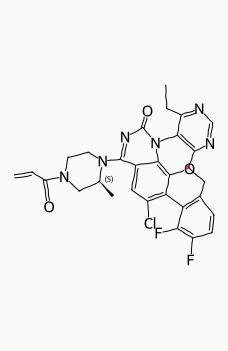 C=CC(=O)N1CCN(c2nc(=O)n(-c3c(CC)ncnc3CC)c3c4c(c(Cl)cc23)-c2c(ccc(F)c2F)CO4)[C@@H](C)C1